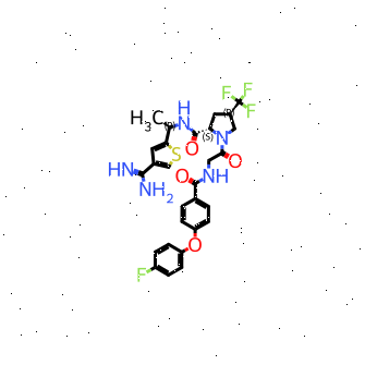 C[C@@H](NC(=O)[C@@H]1C[C@@H](C(F)(F)F)CN1C(=O)CNC(=O)c1ccc(Oc2ccc(F)cc2)cc1)c1cc(C(=N)N)cs1